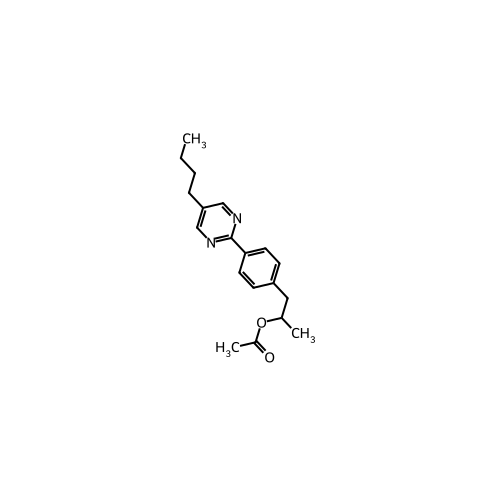 CCCCc1cnc(-c2ccc(CC(C)OC(C)=O)cc2)nc1